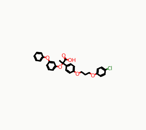 CC(Oc1cccc(Oc2ccccc2)c1)(C(=O)O)c1ccc(OCCCOc2ccc(Cl)cc2)cc1